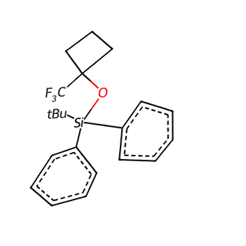 CC(C)(C)[Si](OC1(C(F)(F)F)CCC1)(c1ccccc1)c1ccccc1